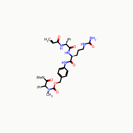 C=CC(=O)N[C@H](C(=O)N[C@@H](CCCNC(N)=O)C(=O)Nc1ccc(COC(=O)N(C)C(C(=O)NC)C(C)C)cc1)C(C)C